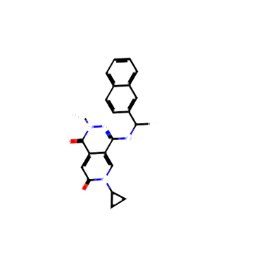 CC(Nc1nn(C)c(=O)c2cc(=O)n(C3CC3)cc12)c1ccc2ccccc2c1